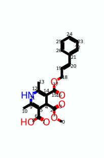 COC(=O)C1C(C(=O)O)=C(C)NC(C)=C1C(=O)OCC=Cc1ccccc1